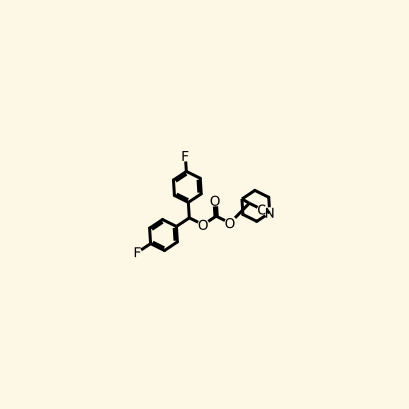 O=C(OC(c1ccc(F)cc1)c1ccc(F)cc1)OC1CN2CCC1CC2